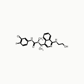 C[C@@H](c1cnc(NCCO)c2ccccc12)N(C)C(=O)Nc1ccc(F)c(Cl)c1